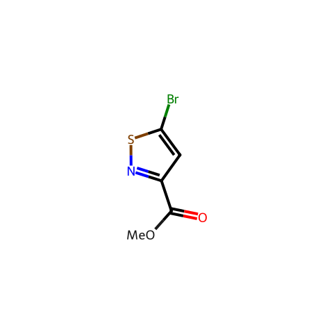 COC(=O)c1cc(Br)sn1